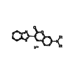 CCN(CC)c1ccc2cc(-c3nc4ccccc4s3)c(=O)oc2c1.[Ir+3]